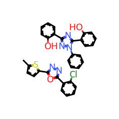 Cc1ccc(-c2nnc(-c3ccccc3Cl)o2)s1.Oc1ccccc1-c1nc(-c2ccccc2O)n(-c2ccccc2)n1